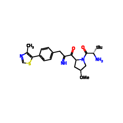 COC1CC(C(=O)C(=N)Cc2ccc(-c3scnc3C)cc2)N(C(=O)[C@@H](N)C(C)(C)C)C1